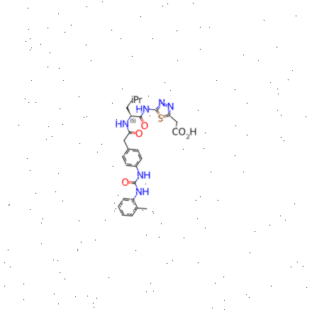 Cc1ccccc1NC(=O)Nc1ccc(CC(=O)N[C@@H](CC(C)C)C(=O)Nc2nnc(CC(=O)O)s2)cc1